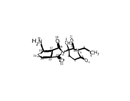 CCN1C(=O)CCC(C)(N2C(=O)c3csc(N)c3C2=O)C1=O